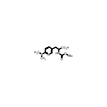 CN(C)c1ccc(CC(NC(=O)OC(C)(C)C)C(=O)O)cn1